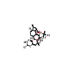 C=C1C2C(=O)[C@]34[C@H]2[C@H]1CC[C@H]3[C@@]12CO[C@]4(OC(C)(C)O)[C@@H](O)[C@@H]1C(C)(C)C[C@@H](O[C@H](O)CC)C2=O